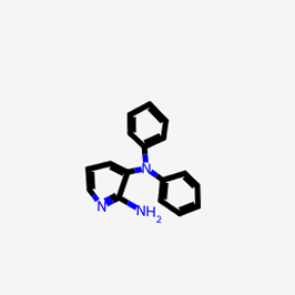 Nc1ncccc1N(c1ccccc1)c1ccccc1